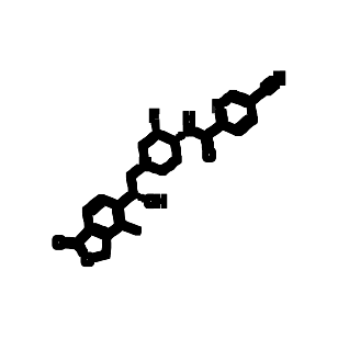 Cc1c([C@@H](O)CN2CC[C@@H](NC(=O)c3ccc(C#N)cn3)[C@H](F)C2)ccc2c1COC2=O